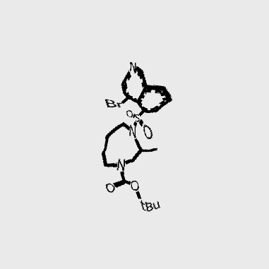 CC1CN(C(=O)OC(C)(C)C)CCCCN1S(=O)(=O)c1cccc2cncc(Br)c12